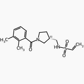 C=CS(=O)(=O)NC[C@H]1CCN(C(=O)c2cccc(C)c2C)C1